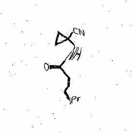 CC(C)CCC(=O)NC1(C#N)CC1